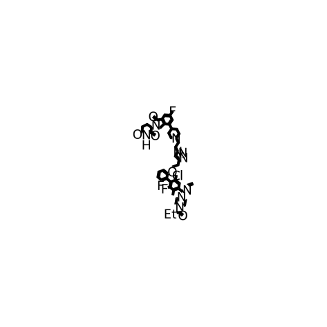 C=C/N=C(\c1cc(Cl)c(-c2c(F)cccc2OCCc2cn(CCN3CCC(c4cc(F)cc5c4CN(C4CCC(=O)NC4=O)C5=O)CC3)nn2)c(F)c1C)N1CCN(C(=O)CC)CC1